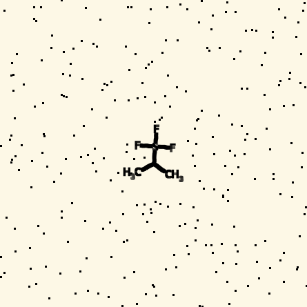 CC(C)S(F)(F)F